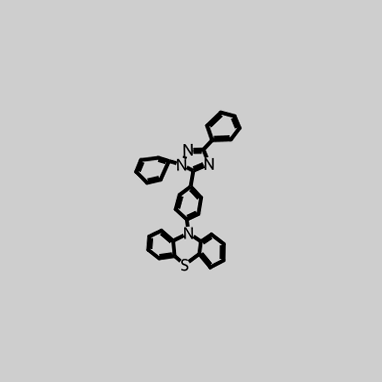 c1ccc(-c2nc(-c3ccc(N4c5ccccc5Sc5ccccc54)cc3)n(-c3ccccc3)n2)cc1